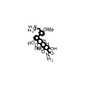 COc1ccc(-c2ccc(O)c3c2C[C@H]2C[C@H]4CC(O)=C(C(N)=O)C(=O)[C@@]4(O)C(O)=C2C3=O)cc1CN(C)C